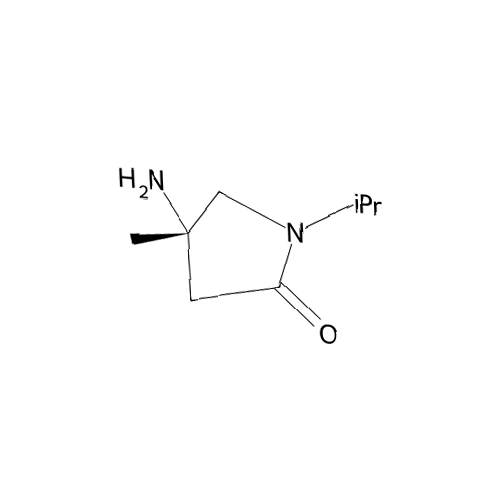 CC(C)N1C[C@@](C)(N)CC1=O